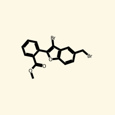 COC(=O)c1ccccc1-c1oc2ccc(CBr)cc2c1Br